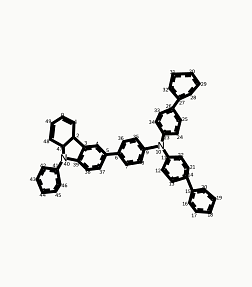 C1=CC2c3cc(-c4ccc(N(c5ccc(-c6ccccc6)cc5)c5ccc(-c6ccccc6)cc5)cc4)ccc3N(c3ccccc3)C2C=C1